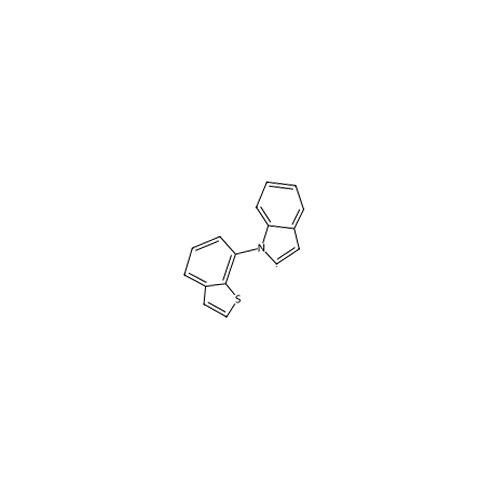 [c]1cc2ccccc2n1-c1cccc2ccsc12